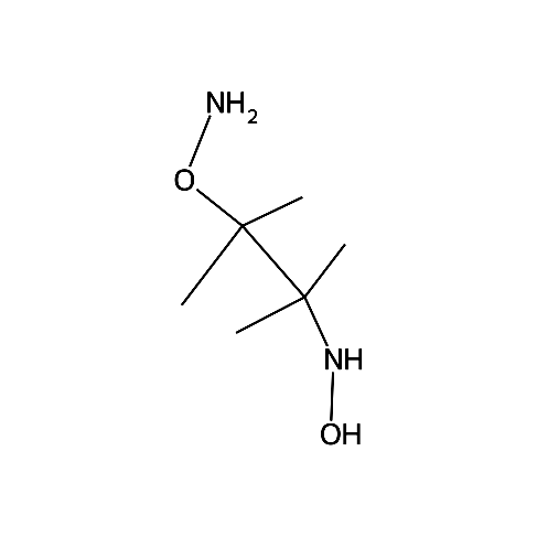 CC(C)(NO)C(C)(C)ON